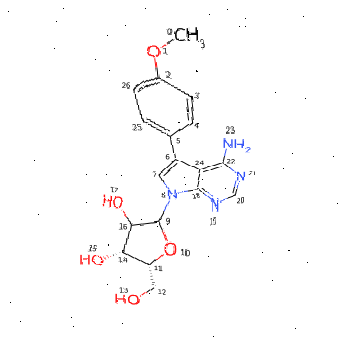 COc1ccc(-c2cn(C3O[C@H](CO)[C@H](O)C3O)c3ncnc(N)c23)cc1